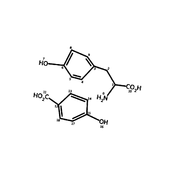 NC(Cc1ccc(O)cc1)C(=O)O.O=C(O)c1ccc(O)cc1